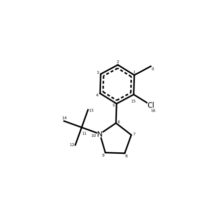 Cc1cccc(C2CCCN2C(C)(C)C)c1Cl